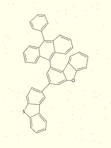 c1ccc(-c2c3ccccc3c(-c3cc(-c4ccc5sc6ccccc6c5c4)cc4oc5ccccc5c34)c3ccccc23)cc1